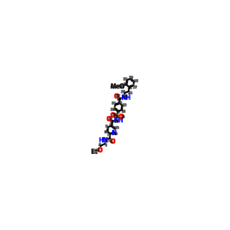 CCOCCNC(=O)c1ccc(C(=O)NS(=O)(=O)c2ccc(C(=O)NCCc3ccccc3OC)cc2)cn1